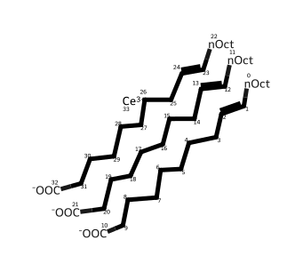 CCCCCCCCC=CCCCCCCCC(=O)[O-].CCCCCCCCC=CCCCCCCCC(=O)[O-].CCCCCCCCC=CCCCCCCCC(=O)[O-].[Ce+3]